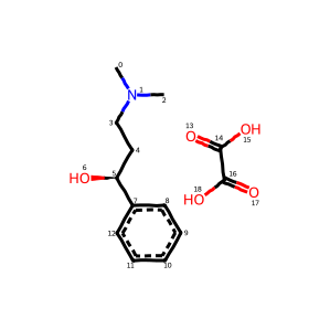 CN(C)CC[C@H](O)c1ccccc1.O=C(O)C(=O)O